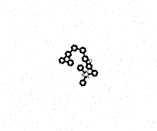 c1ccc(-c2nc(-c3ccccc3)nc(-c3ccccc3-c3ccc4c(c3)oc3cc(-c5cccc(-c6cccc(-c7ccc8c9ccccc9c9ccccc9c8c7)c6)c5)ccc34)n2)cc1